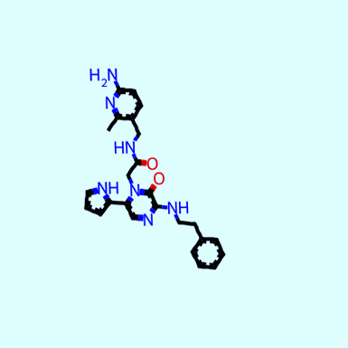 Cc1nc(N)ccc1CNC(=O)Cn1c(-c2ccc[nH]2)cnc(NCCc2ccccc2)c1=O